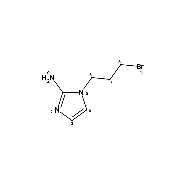 Nc1nccn1CCCBr